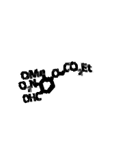 CCOC(=O)COc1ccc(C=O)c([N+](=O)[O-])c1OC